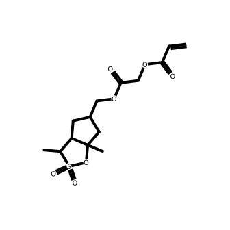 C=CC(=O)OCC(=O)OCC1CC2C(C)S(=O)(=O)OC2(C)C1